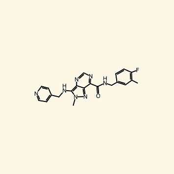 Cc1cc(CNC(=O)c2ncnc3c(NCc4ccncc4)n(C)nc23)ccc1F